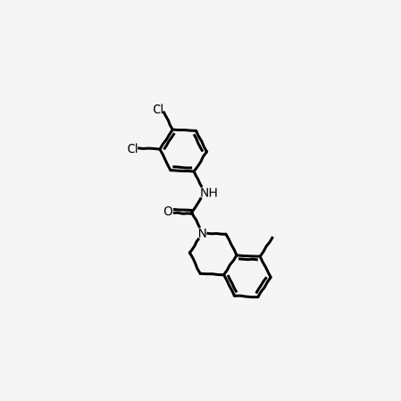 Cc1cccc2c1CN(C(=O)Nc1ccc(Cl)c(Cl)c1)CC2